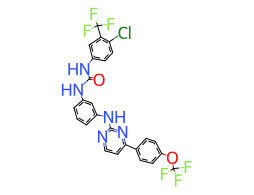 O=C(Nc1cccc(Nc2nccc(-c3ccc(OC(F)(F)F)cc3)n2)c1)Nc1ccc(Cl)c(C(F)(F)F)c1